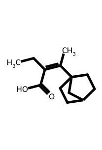 CCC(C(=O)O)=C(C)C12CCC(CC1)C2